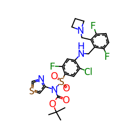 CC(C)(C)OC(=O)N(c1cscn1)S(=O)(=O)c1cc(Cl)c(NCc2c(F)ccc(F)c2CN2CCC2)cc1F